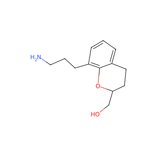 NCCCc1cccc2c1OC(CO)CC2